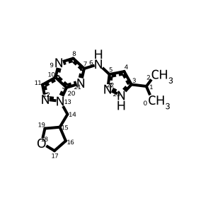 CC(C)c1cc(Nc2cnc3cnn(CC4CCOC4)c3n2)n[nH]1